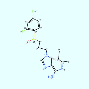 Cc1nc(N)c2ncn(CCC[S+]([O-])c3ccc(F)cc3F)c2c1C